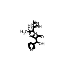 CC1(C)SC2C(C(O)c3cccnc3)C(=O)N2C1c1nnn[nH]1